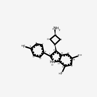 N[C@H]1C[C@@H](c2c(-c3ccc(F)cc3)[nH]c3c(F)cc(F)cc32)C1